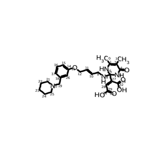 CC1=C(C)C(=O)NC(NCC=CCOc2cccc(CN3CCCCC3)c2)(C(=CC(=O)O)C(=O)O)N1